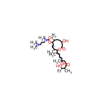 CCC(O)C(C)C1OC1CC(C)(O)/C=C/C=C(\C)C1OC(=O)CC(O)CCC(C)C(OC(=O)N(C)CCCN(C)C)/C=C/C1C